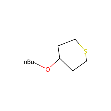 CCCCOC1CCSCC1